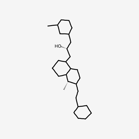 CC1CCCC(C[C@@H](O)CC2CCCC3C2CCC(CCC2CCCCC2)[C@@H]3C)C1